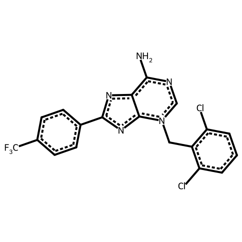 Nc1ncn(Cc2c(Cl)cccc2Cl)c2nc(-c3ccc(C(F)(F)F)cc3)nc1-2